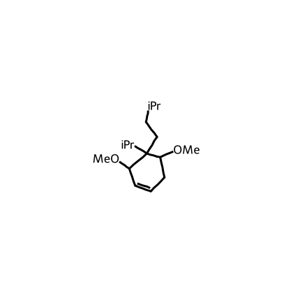 CO[C]1CC=CC(OC)C1(CCC(C)C)C(C)C